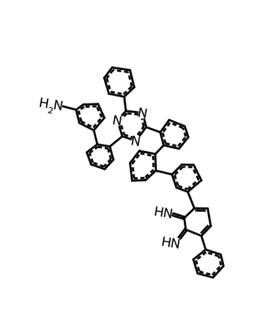 N=C1C(=N)C(c2cccc(-c3ccccc3-c3ccccc3-c3nc(-c4ccccc4)nc(-c4ccccc4-c4cccc(N)c4)n3)c2)=CC=C1c1ccccc1